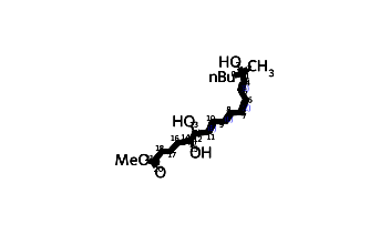 CCCCC(C)(O)/C=C/C=C\C=C\C=C\[C@@H](O)[C@@H](O)CCCC(=O)OC